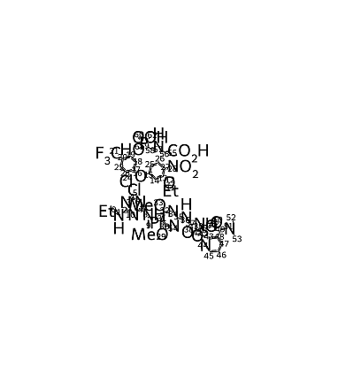 CCNc1nc(Cl)nc(NC(C)C)n1.CCOc1cc(Oc2ccc(C(F)(F)F)cc2Cl)ccc1[N+](=O)[O-].COc1cc(OC)nc(NC(=O)NS(=O)(=O)c2ncccc2C(=O)N(C)C)n1.O=C(O)CNCP(=O)(O)O